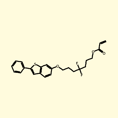 C=CC(=O)OCCCC(F)(F)CCCOc1ccc2cc(-c3ccccc3)sc2c1